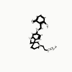 O=C(O)CCN1CCCC2(COc3cc(OCc4c(Cl)cccc4Cl)ccc32)C1